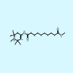 COC(=O)CCCCCCCCC(=O)OC1=CC(C)(C)N(C)C(C)(C)C1